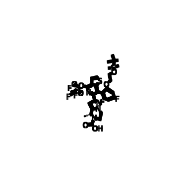 C[C@@H]1c2cc(-c3nc(OS(=O)(=O)C(F)(F)F)c4ccsc4c3-c3c(F)cc(F)cc3OCCO[Si](C)(C)C(C)(C)C)nn2CCN1C(=O)O